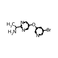 CC(N)c1ncc(Oc2cncc(Br)c2)cn1